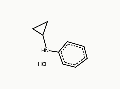 Cl.c1ccc(NC2CC2)cc1